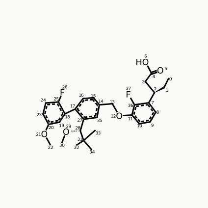 CC[C@H](CC(=O)O)c1cccc(OCc2ccc(-c3cc(OC)ccc3F)c([C@@H](OC)C(C)(C)C)c2)c1F